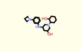 OC1CC(Nc2cccc(N3CCC3)c2)CN(C2CCCCC2O)C1